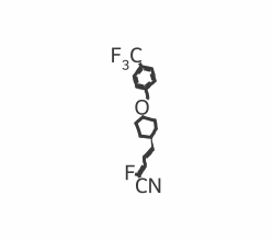 N#C/C(F)=C/C=C/[C@H]1CC[C@H](OCc2ccc(C(F)(F)F)cc2)CC1